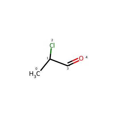 CC(Cl)[C]=O